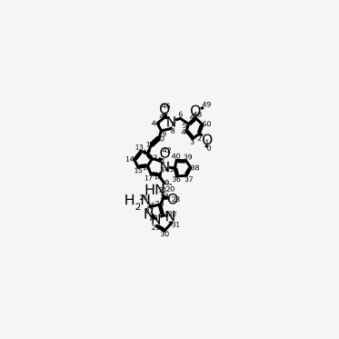 COc1ccc(CN2CC(C#Cc3cccc4cc([C@H](C)NC(=O)c5c(N)nn6cccnc56)n(-c5ccccc5)c(=O)c34)CC2=O)c(OC)c1